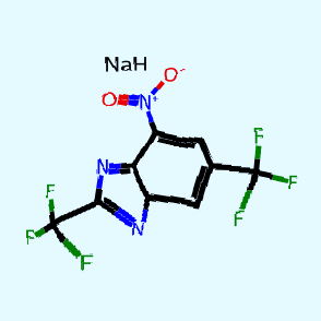 O=[N+]([O-])C1=CC(C(F)(F)F)=CC2N=C(C(F)(F)F)N=C12.[NaH]